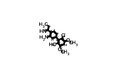 CCC(=N)c1ccc(-c2c(O)c(OC)cc(OC)c2Cl)cc1N